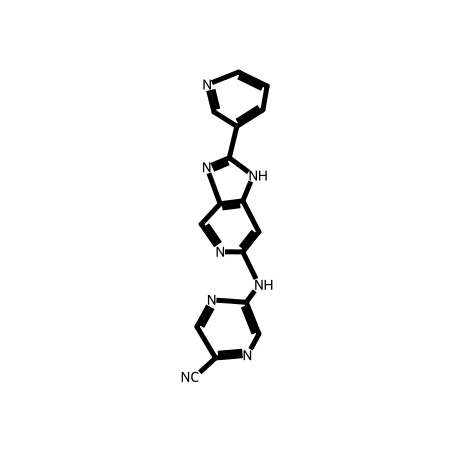 N#Cc1cnc(Nc2cc3[nH]c(-c4cccnc4)nc3cn2)cn1